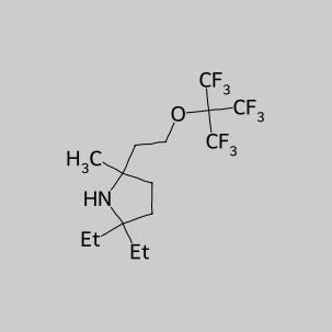 CCC1(CC)CCC(C)(CCOC(C(F)(F)F)(C(F)(F)F)C(F)(F)F)N1